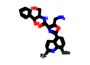 COc1ccc(-c2nc(C(=O)NC(CO)C(O)c3ccccc3)c(CN)o2)c2ccc(C(F)(F)F)nc12